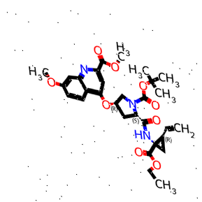 C=C[C@H]1C[C@@]1(NC(=O)[C@@H]1C[C@@H](Oc2cc(C(=O)OC)nc3cc(OC)ccc23)CN1C(=O)OC(C)(C)C)C(=O)OCC